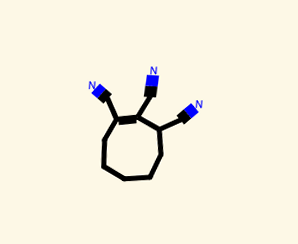 N#CC1=C(C#N)C(C#N)CCCCC1